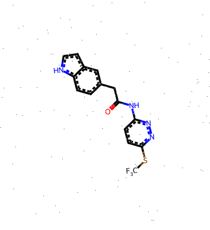 O=C(Cc1ccc2[nH]ccc2c1)Nc1ccc(SC(F)(F)F)nn1